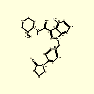 O=C(N[C@H]1CCOC[C@@H]1O)c1cn(Cc2ccc(N3CCCC3=O)cc2)c2cccc(F)c12